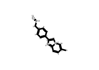 Cc1ccc2nc(-c3ccc(CP=O)cc3)cn2c1